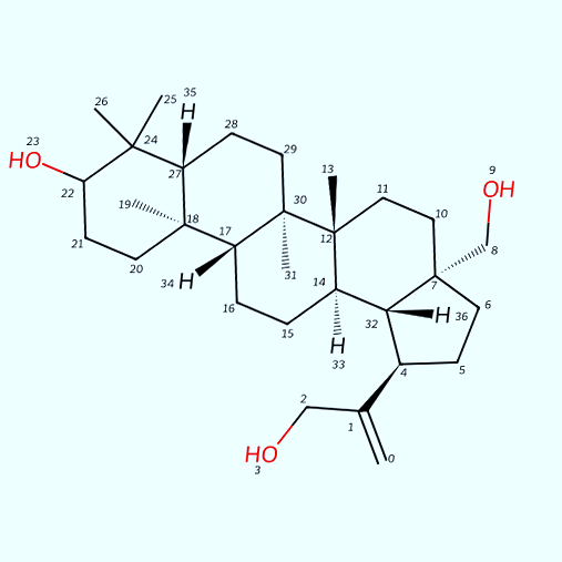 C=C(CO)[C@@H]1CC[C@]2(CO)CC[C@]3(C)[C@H](CC[C@@H]4[C@@]5(C)CCC(O)C(C)(C)[C@@H]5CC[C@]43C)[C@@H]12